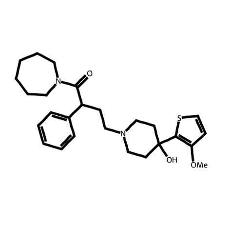 COc1ccsc1C1(O)CCN(CCC(C(=O)N2CCCCCC2)c2ccccc2)CC1